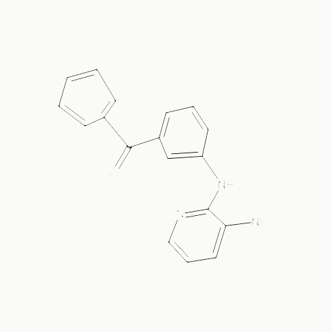 Nc1cccnc1Nc1cccc(C(=O)c2ccccc2)c1